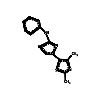 Cc1nc(C)c(-c2csc(Nc3ccccc3)n2)s1